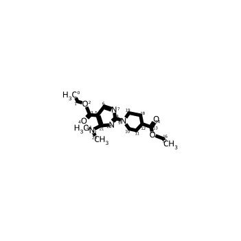 CCOC(=O)c1cnc(N2CCC(C(=O)OCC)CC2)nc1N(C)C